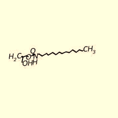 C=C(CO)COC(=O)NCCCCCCCCCCCCCCC